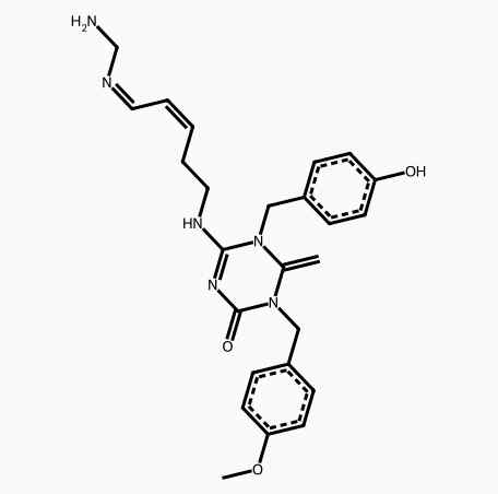 C=C1N(Cc2ccc(OC)cc2)C(=O)N=C(NCC/C=C\C=N/CN)N1Cc1ccc(O)cc1